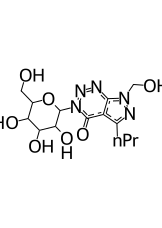 CCCc1nn(CO)c2nnn(C3OC(CO)C(O)C(O)C3O)c(=O)c12